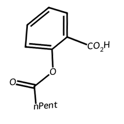 CCCCCC(=O)Oc1ccccc1C(=O)O